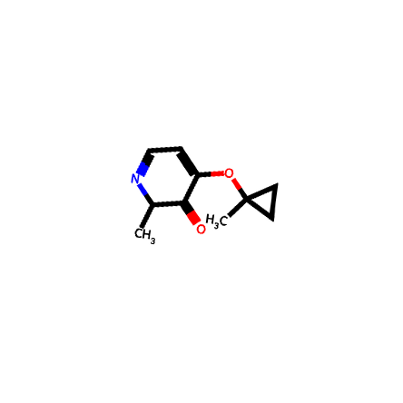 CC1N=CC=C(OC2(C)CC2)C1=O